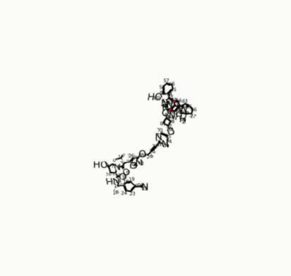 CC(C)[C@@H](C(=O)N1C[C@H](O)C[C@H]1C(=O)N[C@@H](C)c1ccc(C#N)cc1)c1cc(OCC#Cc2ncc(OC3CC(Oc4cc(N5C6CC[C@@H]5CN(c5cc(-c7ccccc7O)nnc5N)C6)ccn4)C3)cn2)no1